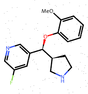 COc1ccccc1O[C@H](c1cncc(F)c1)[C@H]1CCNC1